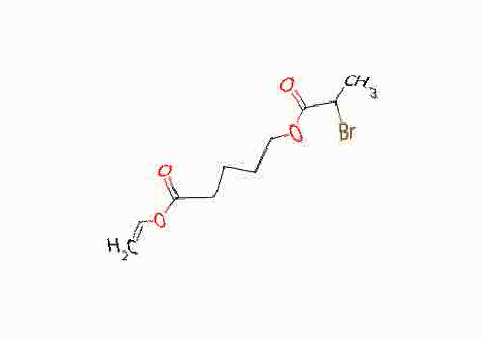 C=COC(=O)CCCCOC(=O)C(C)Br